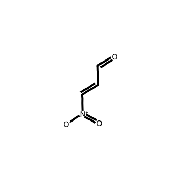 O=CC=C[N+](=O)[O-]